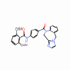 COc1cccc(OC)c1C(=O)Nc1ccc(C(=O)N2Cc3nccn3Cc3ccccc32)cc1